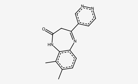 Cc1ccc2c(c1C)NC(=O)CC(c1ccnnc1)=N2